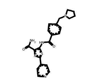 NC(=O)c1nc(-c2ccncc2)sc1NC(=O)c1ccc(CN2CCCC2)cc1